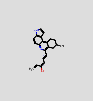 C=C/C(O)=C\C=C\c1nc2ccc3[nH]ccc3c2c2c1CC(C#N)CC2